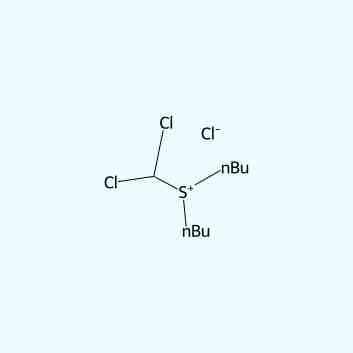 CCCC[S+](CCCC)C(Cl)Cl.[Cl-]